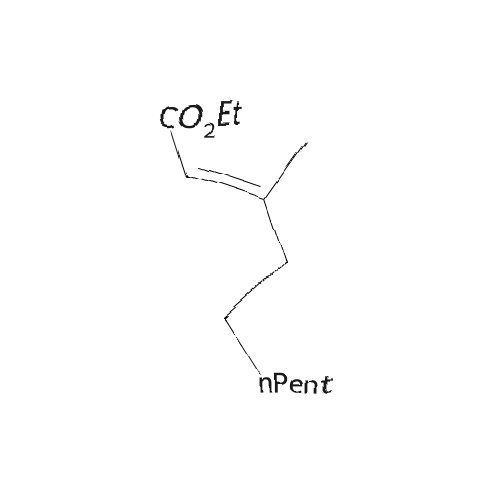 CCCCCCCC(C)=CC(=O)OCC